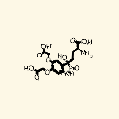 N[C@@H](CCC(O)(c1ccc(OCC(=O)O)c(OCC(=O)O)c1)[PH](=O)O)C(=O)O